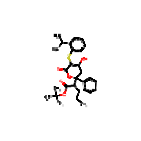 CCCC(C(=O)OC(C)(C)C)C1(c2ccccc2)CC(O)=C(Sc2ccccc2C(C)C)C(=O)O1